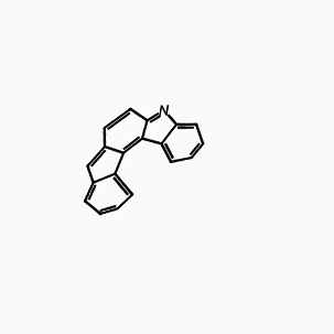 C1=c2ccc3c(c2-c2ccccc21)-c1ccccc1N=3